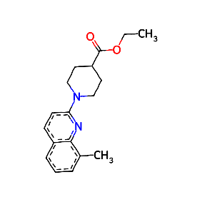 CCOC(=O)C1CCN(c2ccc3cccc(C)c3n2)CC1